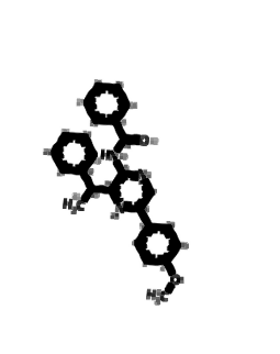 COc1ccc(-c2cnc(NC(=O)c3ccccc3)c(C(C)c3ccccc3)n2)cc1